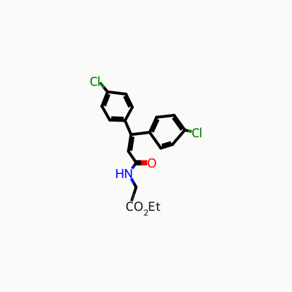 CCOC(=O)CNC(=O)C=C(c1ccc(Cl)cc1)c1ccc(Cl)cc1